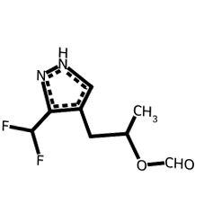 CC(Cc1c[nH]nc1C(F)F)OC=O